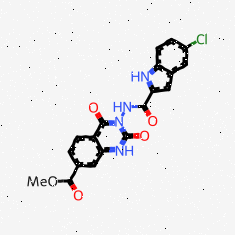 COC(=O)c1ccc2c(=O)n(NC(=O)c3cc4cc(Cl)ccc4[nH]3)c(=O)[nH]c2c1